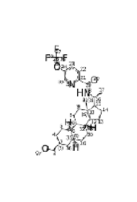 COC[C@H]1CC[C@@H]2C3CC[C@@]4(C)C(CCC4[C@H](C)NC(=O)c4ccc(OC(F)(F)F)cn4)[C@@H]3CC[C@@H]2C1